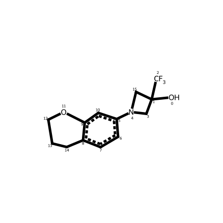 OC1(C(F)(F)F)CN(c2ccc3c(c2)OCCC3)C1